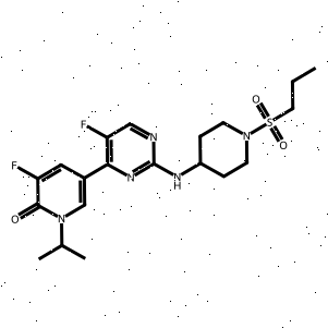 CCCS(=O)(=O)N1CCC(Nc2ncc(F)c(-c3cc(F)c(=O)n(C(C)C)c3)n2)CC1